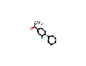 COC(=O)c1ccc(C2CCCCC2)c(Cl)c1